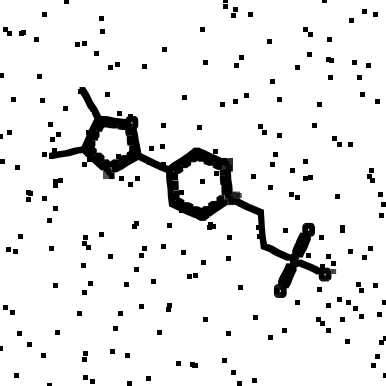 Cc1nc(-c2cc[n+](CCS(=O)(=O)[O-])nc2)oc1C